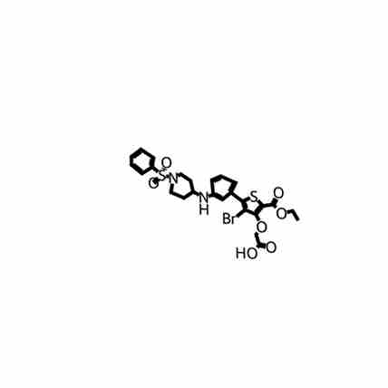 CCOC(=O)c1sc(-c2cccc(NC3CCN(S(=O)(=O)c4ccccc4)CC3)c2)c(Br)c1OCC(=O)O